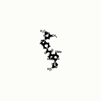 COc1cnc(-n2cnc(C)n2)c2[nH]cc(C(=O)C(=O)N3CCc4c(cnn4-c4cc(C)nc(C)n4)C3)c12